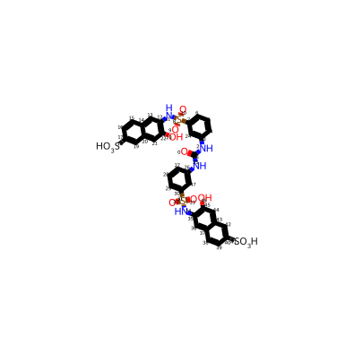 O=C(Nc1cccc(S(=O)(=O)Nc2cc3ccc(S(=O)(=O)O)cc3cc2O)c1)Nc1cccc(S(=O)(=O)Nc2cc3ccc(S(=O)(=O)O)cc3cc2O)c1